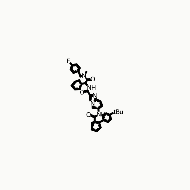 CN(Cc1ccc(F)cc1)C(=O)C(NC(=O)c1cn2cc(NC(=O)c3ccccc3-c3ccc(C(C)(C)C)cc3)ccc2n1)c1ccccc1